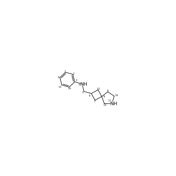 c1ccc(NCC2CC3(CCNC3)C2)cc1